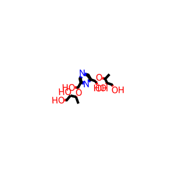 CC(OC(O)c1cncc(C(O)OC(C)C(O)CO)n1)C(O)CO